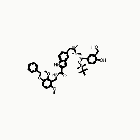 COc1ccc(OCc2ccccc2)c(OC)c1CNC(=O)c1cc2cc(C[C@@H](C)NC[C@@H](O[Si](C)(C)C(C)(C)C)c3ccc(O)c(CO)c3)ccc2[nH]1